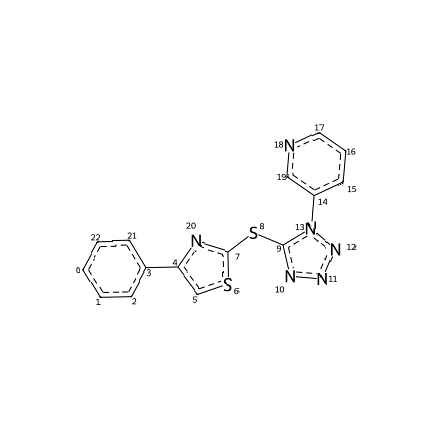 c1ccc(-c2csc(Sc3nnnn3-c3cccnc3)n2)cc1